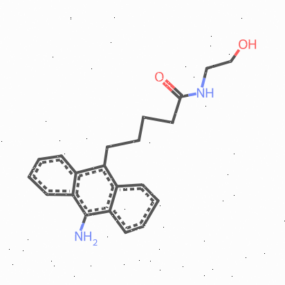 Nc1c2ccccc2c(CCCCC(=O)NCCO)c2ccccc12